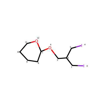 ICC(CI)COC1CCCCO1